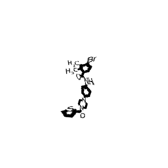 Cc1c(Br)ccc(C(=O)Nc2ccc(N3CCN(C(=O)c4cccs4)CC3)cc2)c1C